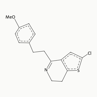 COc1ccc(CCC2=NCCc3sc(Cl)cc32)cc1